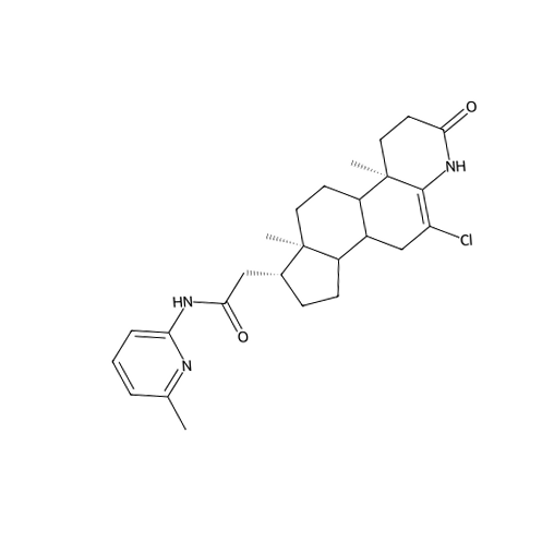 Cc1cccc(NC(=O)C[C@H]2CCC3C4CC(Cl)=C5NC(=O)CC[C@]5(C)C4CC[C@@]32C)n1